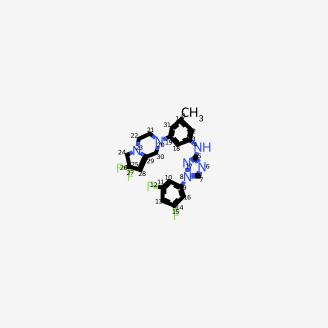 Cc1cc(Nc2ncn(-c3cc(F)cc(F)c3)n2)cc(N2CCN3CC(F)(F)C=C3C2)c1